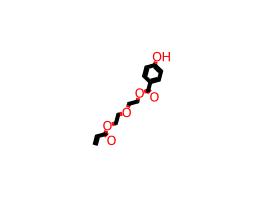 C=CC(=O)OCCOCCOC(=O)c1ccc(O)cc1